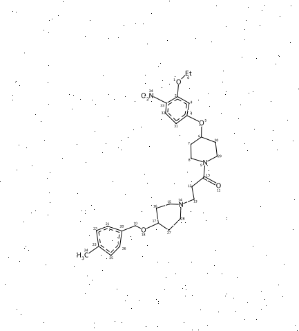 CCOc1cc(OC2CCN(C(=O)CCN3CCC(OCc4ccc(C)cc4)CC3)CC2)ccc1[N+](=O)[O-]